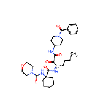 CCCC[C@H](NC(=O)C1(NC(=O)N2CCOCC2)CCCCC1)C(=O)C(=O)NC1CCN(C(=O)c2ccccc2)CC1